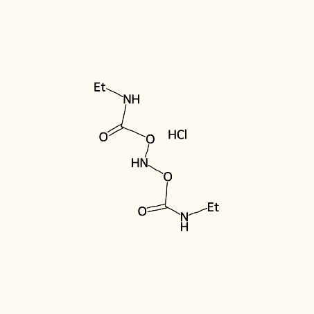 CCNC(=O)ONOC(=O)NCC.Cl